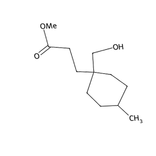 COC(=O)CCC1(CO)CCC(C)CC1